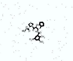 Cc1c(C(=O)N[C@@H](Cc2ccccc2)[C@H](O)C(=O)N2CSC[C@H]2C(=O)NC(C)(C)C)cc([N+](=O)[O-])cc1[N+](=O)[O-]